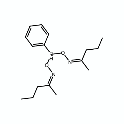 CCCC(C)=NO[SiH](ON=C(C)CCC)c1ccccc1